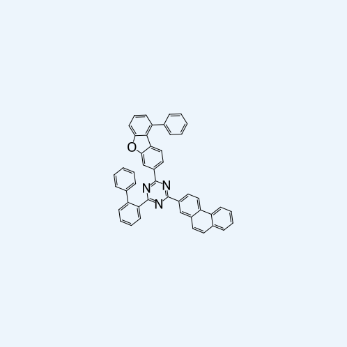 c1ccc(-c2ccccc2-c2nc(-c3ccc4c(ccc5ccccc54)c3)nc(-c3ccc4c(c3)oc3cccc(-c5ccccc5)c34)n2)cc1